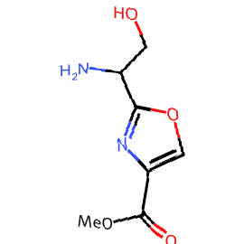 COC(=O)c1coc(C(N)CO)n1